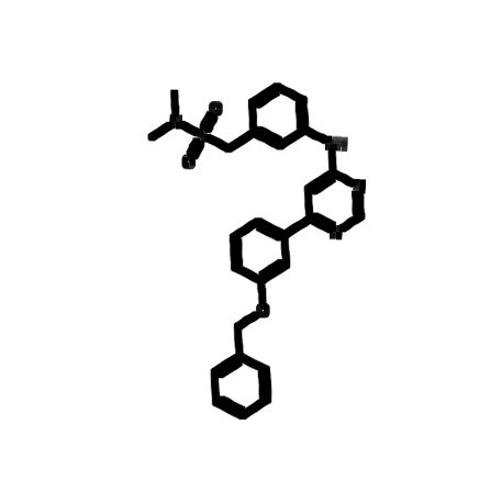 CN(C)S(=O)(=O)Cc1cccc(Nc2cc(-c3cccc(OCc4ccccc4)c3)ncn2)c1